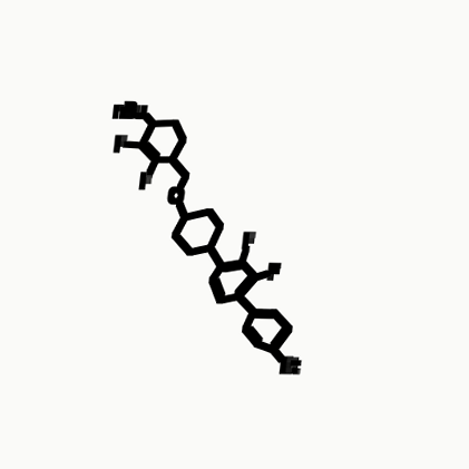 CCCCC1CCC(COC2CCC(c3ccc(-c4ccc(CC)cc4)c(F)c3F)CC2)C(F)=C1F